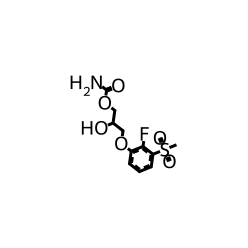 CS(=O)(=O)c1cccc(OCC(O)COC(N)=O)c1F